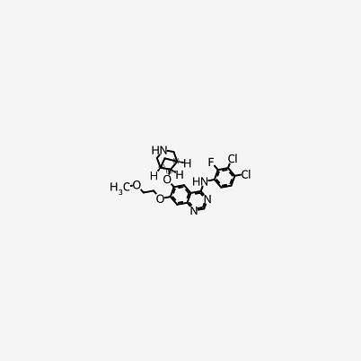 COCCOc1cc2ncnc(Nc3ccc(Cl)c(Cl)c3F)c2cc1O[C@@H]1[C@@H]2CNC[C@H]1C2